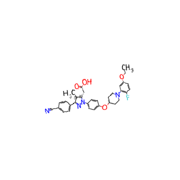 CCOc1ccc(F)c(N2CCC(Oc3ccc(N4N=C(c5ccc(C#N)cc5)[C@@H](C)[C@@H]4CC(=O)O)cc3)CC2)c1